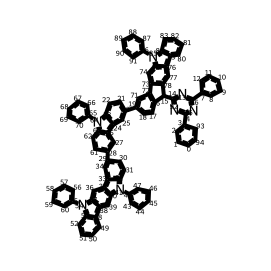 c1ccc(-c2nc(-c3ccccc3)nc(C3c4ccc(-c5ccc6c(c5)c5cc(-c7ccc8c(c7)c7cc9c(cc7n8-c7ccccc7)c7ccccc7n9-c7ccccc7)ccc5n6-c5ccccc5)cc4-c4cc5c(cc43)c3ccccc3n5-c3ccccc3)n2)cc1